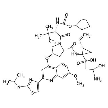 C=C[C@@H]1C[C@]1(NC(=O)[C@@H]1C[C@@H](Oc2cc(-c3csc(NC(C)C)n3)nc3cc(OC)ccc23)CN1C(=O)[C@@H](NC(=O)OC1CCCC1)C(C)(C)C)P(=O)(O)CC(N)O